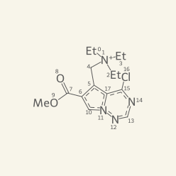 CC[N+](CC)(CC)Cc1c(C(=O)OC)cn2ncnc(Cl)c12